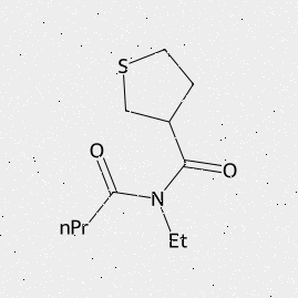 CCCC(=O)N(CC)C(=O)C1CCSC1